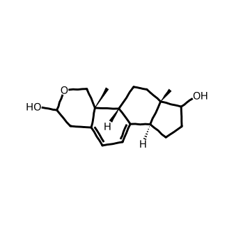 C[C@]12COC(O)CC1=CC=C1[C@H]2CC[C@]2(C)C(O)CC[C@@H]12